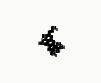 CCCC(=O)N[C@@H](CO)C(=O)N[C@@H](CC(C)C)C(=O)C(C)(C)C(=O)O